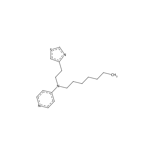 CCCCCCCN(CCc1cs[c]n1)c1ccncc1